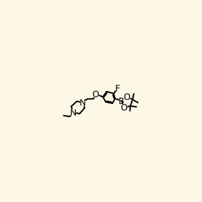 CCN1CCN(CCOc2ccc(B3OC(C)(C)C(C)(C)O3)c(F)c2)CC1